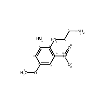 COc1ccc(NCCN)c([N+](=O)[O-])c1.Cl